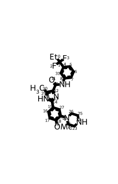 CCC(F)(F)c1cccc(NC(=O)c2nc(-c3ccc(OC)c(N4CCNCC4)c3)[nH]c2C)c1